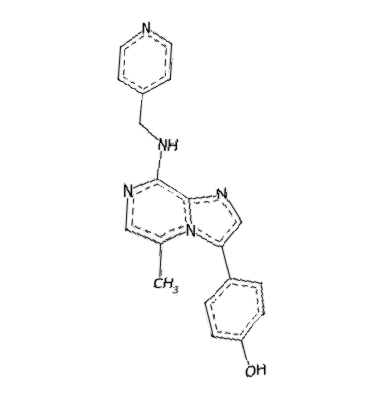 Cc1cnc(NCc2ccncc2)c2ncc(-c3ccc(O)cc3)n12